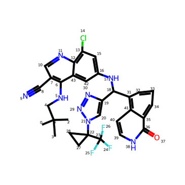 CC(C)(C)CNc1c(C#N)cnc2c(Cl)cc(NC(c3cn(C4(C(F)(F)F)CC4)nn3)c3cccc4c(=O)[nH]ccc34)cc12